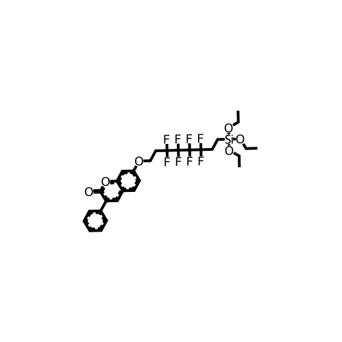 CCO[Si](CCC(F)(F)C(F)(F)C(F)(F)C(F)(F)CCOc1ccc2cc(-c3ccccc3)c(=O)oc2c1)(OCC)OCC